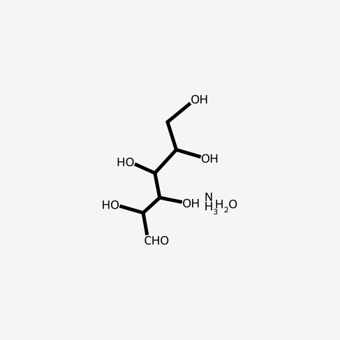 N.O.O=CC(O)C(O)C(O)C(O)CO